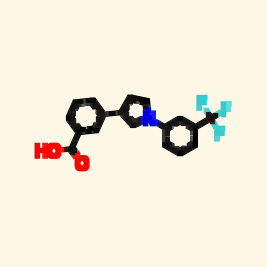 O=C(O)c1cccc(-c2ccn(-c3cccc(C(F)(F)F)c3)c2)c1